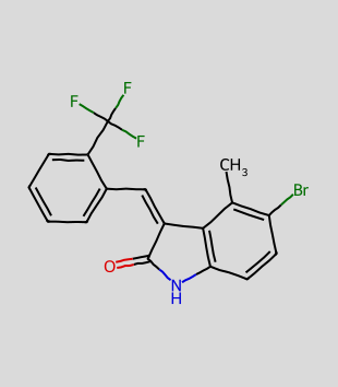 Cc1c(Br)ccc2c1C(=Cc1ccccc1C(F)(F)F)C(=O)N2